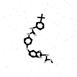 COC(=O)Nc1nc2cc(Oc3ccc(NC(=O)Nc4cccc(C(C)(C)C)c4)cc3)ccc2[nH]1